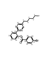 CCCCCCc1cnc(-c2ccccc2OC(=O)c2ccc(Br)cc2)nc1